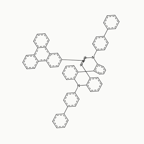 c1ccc(-c2ccc(N3c4ccccc4C4(c5ccccc53)c3ccccc3N(c3ccc(-c5ccccc5)cc3)c3ccc(-c5ccc6c7ccccc7c7ccccc7c6c5)cc34)cc2)cc1